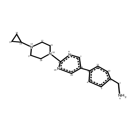 NCc1ccc(-c2cnc(N3CCN(C4CC4)CC3)nc2)cc1